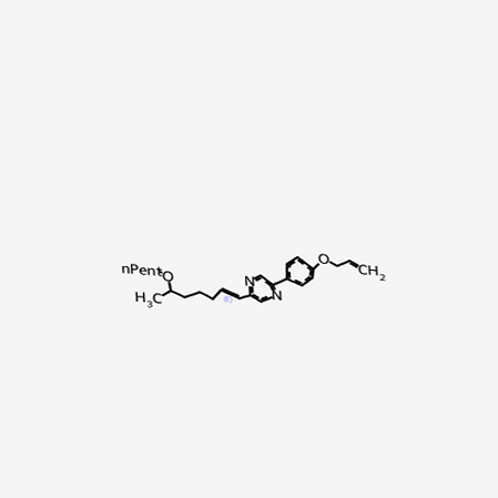 C=CCOc1ccc(-c2cnc(/C=C/CCCC(C)OCCCCC)cn2)cc1